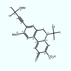 CCC(C)(C)N1Cc2cc(C#CC(C)(C)OC)c(OC)cc2-c2cc(=O)c(C(=O)O)cn21